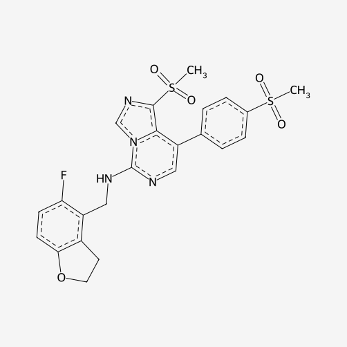 CS(=O)(=O)c1ccc(-c2cnc(NCc3c(F)ccc4c3CCO4)n3cnc(S(C)(=O)=O)c23)cc1